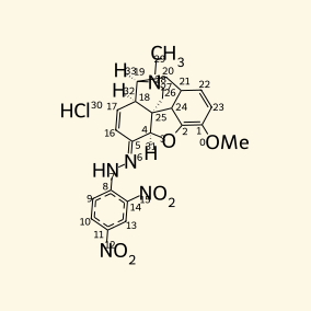 COC1=C2O[C@H]3C(=NNc4ccc([N+](=O)[O-])cc4[N+](=O)[O-])C=C[C@H]4[C@H]5CC(C=C1)C2[C@@]34CCN5C.Cl